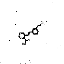 CCCc1cccc(/C=C/c2ccccc2C(=O)O)c1